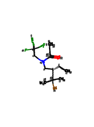 CC[C@@H](CN(CC(F)(F)F)C(C)=O)C(C)(C)S